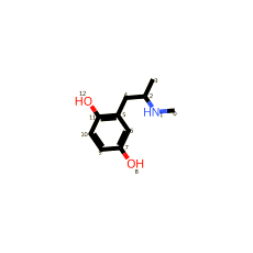 CNC(C)Cc1cc(O)ccc1O